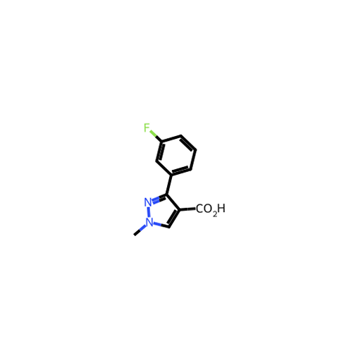 Cn1cc(C(=O)O)c(-c2cccc(F)c2)n1